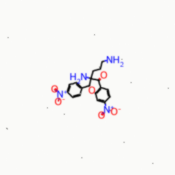 NCCCC(N)(C(=O)c1ccc([N+](=O)[O-])cc1)C(=O)c1ccc([N+](=O)[O-])cc1